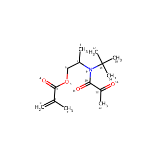 C=C(C)C(=O)OCC(C)N(C(=O)C(C)=O)C(C)(C)C